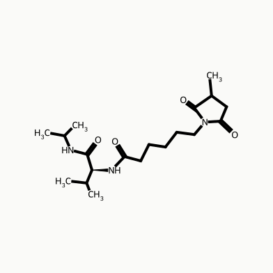 CC(C)NC(=O)[C@@H](NC(=O)CCCCCN1C(=O)CC(C)C1=O)C(C)C